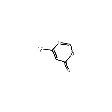 O=c1cc(C(F)(F)F)nco1